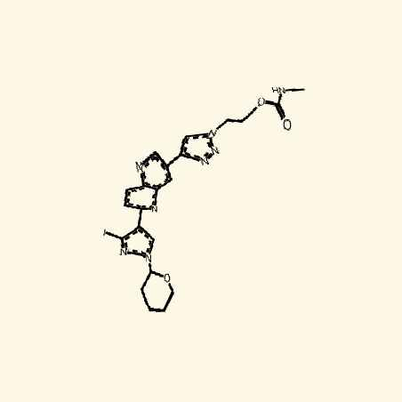 CNC(=O)OCCn1cc(-c2cnc3ccc(-c4cn(C5CCCCO5)nc4I)nc3c2)nn1